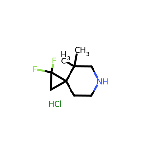 CC1(C)CNCCC12CC2(F)F.Cl